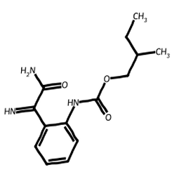 CCC(C)COC(=O)Nc1ccccc1C(=N)C(N)=O